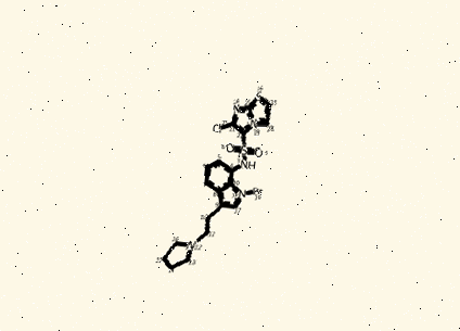 O=S(=O)(Nc1cccc2c(CCN3CCCC3)cn(Br)c12)c1c(Cl)nc2sccn12